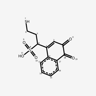 O=C1C=C(C(CCS)S(=O)(=O)O)c2ccccc2C1=O